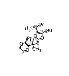 CC(C)C1=C(C(C)(C)CC2OC(C(C)C(C)C)=C(C(C)(C)C)O2)OCCO1